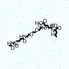 CCCC(NC(=O)CCC(NC(=O)COCCOCCNC(=O)CCC[S+]([O-])NC(C)=O)C(=O)O)C(=O)O